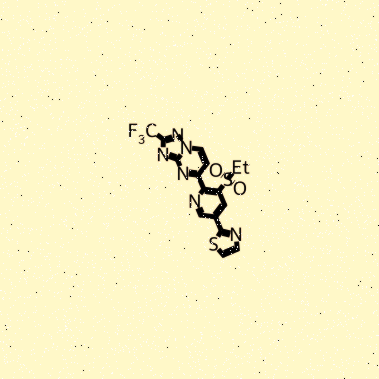 CCS(=O)(=O)c1cc(-c2nccs2)cnc1-c1ccn2nc(C(F)(F)F)nc2n1